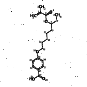 C=C(C)C(=O)OC(CC)CCCCCOc1ccc(C(=O)O)cc1